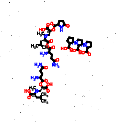 CC(C)C[C@@H](C(=O)O)N(C)C[C@H](OC(=O)C(N)CCC(N)=O)C(=O)O.CC(C)C[C@@H](C(=O)OC(=O)C(N)CCC(N)=O)N(C)C[C@H](OC(=O)C1CCC(=O)N1)C(=O)O.O=C(O)C1CCCC1.O=C(O)C1CCCN1.O=C(O)C1CCCN1